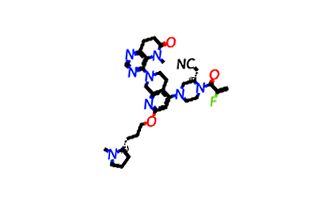 C=C(F)C(=O)N1CCN(c2cc(OCCC[C@@H]3CCCN3C)nc3c2CCN(c2ncnc4c2N(C)C(=O)CC4)C3)C[C@@H]1CC#N